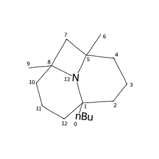 CCCCC12CCCC3(C)CC(C)(CCC1)N32